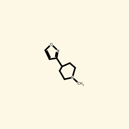 CN1CCC(c2ccon2)CC1